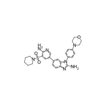 Nc1ncc(-c2ccc3nc(N)n(-c4ccc(N5CCOCC5)cc4)c3c2)cc1S(=O)(=O)N1CCCCC1